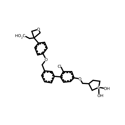 O=C(O)CC1(c2ccc(OCc3cccc(-c4ccc(OCC5CCS(O)(O)C5)cc4Cl)c3)cc2)COC1